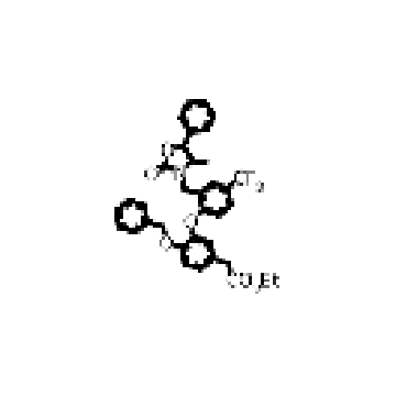 CCOC(=O)Cc1ccc(OCc2ccccc2)c(Oc2ccc(C(F)(F)F)cc2CN2C(=O)OC(c3ccccc3)C2C)c1